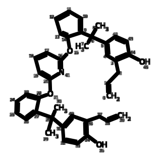 C=CCc1cc(C(C)(C)c2ccccc2Oc2cccc(Oc3ccccc3C(C)(C)c3ccc(O)c(CC=C)c3)n2)ccc1O